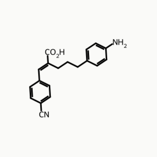 N#Cc1ccc(C=C(CCCc2ccc(N)cc2)C(=O)O)cc1